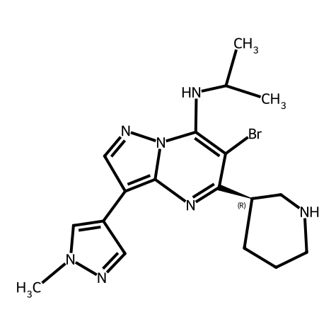 CC(C)Nc1c(Br)c([C@@H]2CCCNC2)nc2c(-c3cnn(C)c3)cnn12